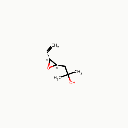 C=C[C@H]1O[C@@H]1CC(C)(C)O